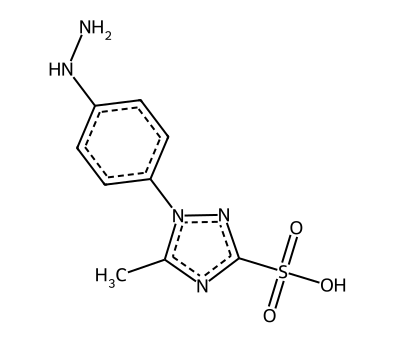 Cc1nc(S(=O)(=O)O)nn1-c1ccc(NN)cc1